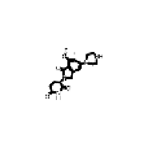 COc1cc(N2CCNCC2)cc2c1C(=O)N(C1CCC(=O)NC1=O)C2